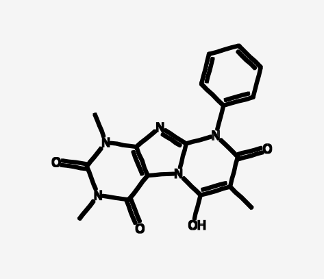 Cc1c(O)n2c3c(=O)n(C)c(=O)n(C)c3nc2n(-c2ccccc2)c1=O